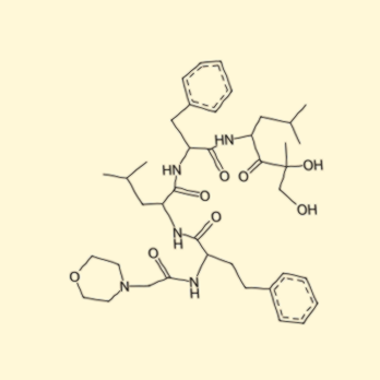 CC(C)CC(NC(=O)C(CCc1ccccc1)NC(=O)CN1CCOCC1)C(=O)NC(Cc1ccccc1)C(=O)NC(CC(C)C)C(=O)C(C)(O)CO